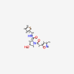 Cc1cc(CC(=O)N2C[C@H](O)C[C@H]2C(=O)NCc2cccs2)on1